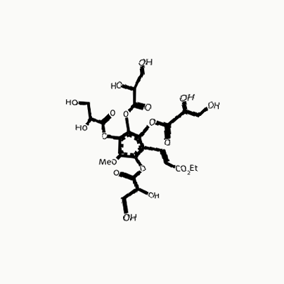 CCOC(=O)C=Cc1c(OC(=O)C(O)CO)c(OC)c(OC(=O)C(O)CO)c(OC(=O)C(O)CO)c1OC(=O)C(O)CO